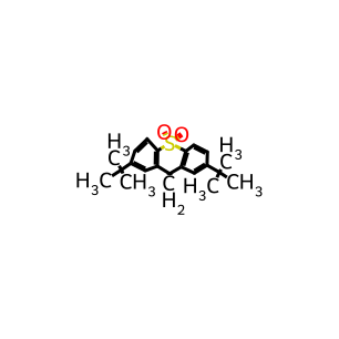 C=C1c2cc(C(C)(C)C)ccc2S(=O)(=O)c2ccc(C(C)(C)C)cc21